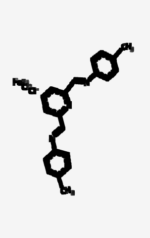 Cc1ccc(N=Cc2cccc(C=Nc3ccc(C)cc3)n2)cc1.[Cl-].[Cl-].[Fe+2]